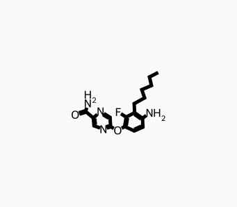 CCCCCCc1c(N)ccc(Oc2cnc(C(N)=O)cn2)c1F